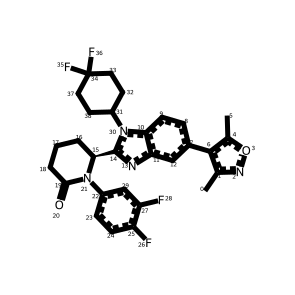 Cc1noc(C)c1-c1ccc2c(c1)nc([C@@H]1CCCC(=O)N1c1ccc(F)c(F)c1)n2C1CCC(F)(F)CC1